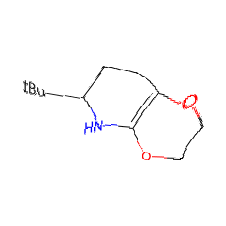 CC(C)(C)C1CCC2=C(N1)OCCO2